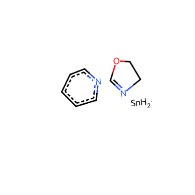 C1=NCCO1.[SnH2].c1ccncc1